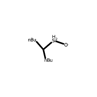 CCCCC(CCCC)[SiH2][O]